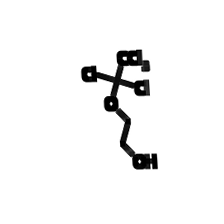 OCCOC(Cl)(Cl)C(Cl)(Cl)Cl